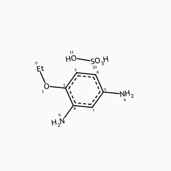 CCOc1ccc(N)cc1N.O=S(=O)(O)O